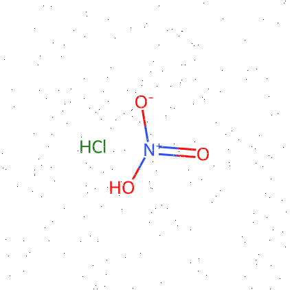 Cl.O=[N+]([O-])O